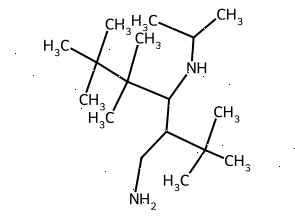 CC(C)NC(C(CN)C(C)(C)C)C(C)(C)C(C)(C)C